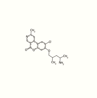 Cc1cc2c(cn1)c(=O)oc1cc(OCC(C)CC(C)N)c(Cl)cc12